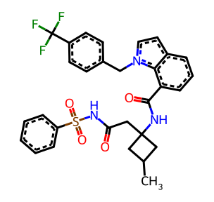 CC1CC(CC(=O)NS(=O)(=O)c2ccccc2)(NC(=O)c2cccc3ccn(Cc4ccc(C(F)(F)F)cc4)c23)C1